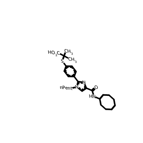 CCCCCn1cc(C(=O)NC2CCCCCCC2)nc1-c1ccc(SC(C)(C)C(=O)O)cc1